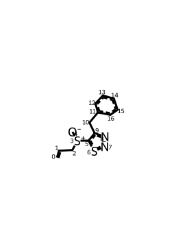 C=CC[S+]([O-])c1snnc1Cc1ccccc1